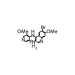 COc1cc2ncc(N)c(Nc3c(F)cncc3OC)c2cc1Br